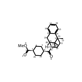 COC(=O)[C@H]1CC[C@@H](C(=O)N2CC[C@@]3(C)c4ccccc4C[C@@H]2C3(C)C)CC1